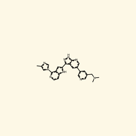 Cc1cn(-c2nccc3[nH]c(-c4n[nH]c5ncc(-c6cncc(CN(C)C)c6)cc45)cc23)cn1